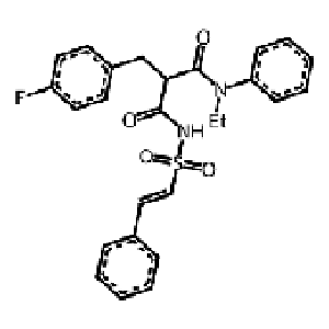 CCN(C(=O)C(Cc1ccc(F)cc1)C(=O)NS(=O)(=O)C=Cc1ccccc1)c1ccccc1